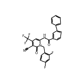 N#Cc1c(C(F)(F)F)cc(NC(=O)c2cccc(-c3ccccc3)c2)n(Cc2ccc(F)cc2F)c1=O